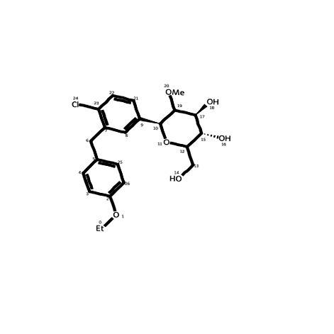 CCOc1ccc(Cc2cc([C@@H]3OC(CO)[C@@H](O)[C@H](O)C3OC)ccc2Cl)cc1